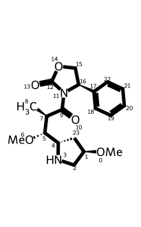 CO[C@H]1CN[C@H]([C@H](OC)[C@@H](C)C(=O)N2C(=O)OC[C@H]2c2ccccc2)C1